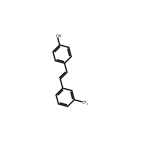 N#Cc1ccc(/C=C/c2cccc(C(F)(F)F)c2)cc1